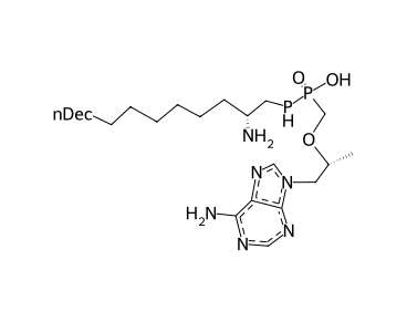 CCCCCCCCCCCCCCCC[C@@H](N)CPP(=O)(O)CO[C@H](C)Cn1cnc2c(N)ncnc21